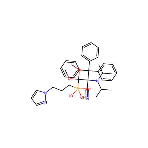 COC(OC)(C(C#N)(N(C(C)C)C(C)C)C(c1ccccc1)(c1ccccc1)c1ccccc1)P(O)(O)(O)CCCn1cccn1